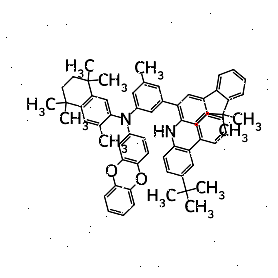 Cc1cc(-c2cc3c(cc2Nc2ccc(C(C)(C)C)cc2-c2ccccc2)C(C)(C)c2ccccc2-3)cc(N(c2ccc3c(c2)Oc2ccccc2O3)c2cc3c(cc2C)C(C)(C)CCC3(C)C)c1